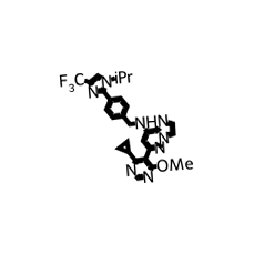 COc1ncnc(C2CC2)c1-c1cc(NCc2ccc(-c3nc(C(F)(F)F)cn3C(C)C)cc2)c2nccn2n1